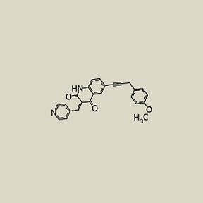 COc1ccc(CC#Cc2ccc3c(c2)C(=O)/C(=C/c2ccncc2)C(=O)N3)cc1